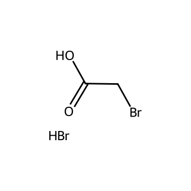 Br.O=C(O)CBr